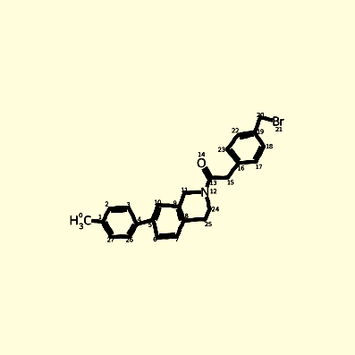 Cc1ccc(-c2ccc3c(c2)CN(C(=O)Cc2ccc(CBr)cc2)CC3)cc1